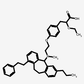 CCCc1ccc2c(c1)C(N(C)CCOc1ccc(CC(OCC)C(=O)O)cc1)c1cccc(CCc3ccccc3)c1CC2